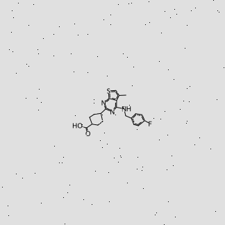 Cc1csc2nc(C3CCC(C(=O)O)CC3)nc(NCc3ccc(F)cc3)c12